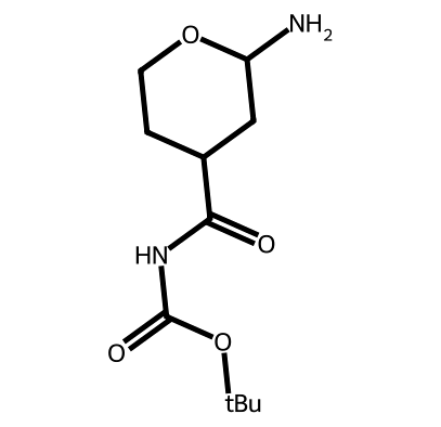 CC(C)(C)OC(=O)NC(=O)C1CCOC(N)C1